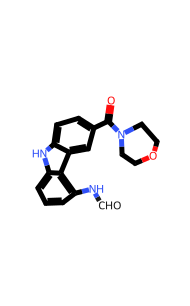 O=CNc1cccc2[nH]c3ccc(C(=O)N4CCOCC4)cc3c12